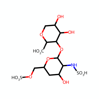 O=C(O)C1OCC(O)C(O)C1OC1OC(COS(=O)(=O)O)CC(O)C1NS(=O)(=O)O